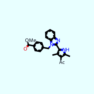 COC(=O)c1ccc(Cn2c(-c3[nH]c(C)c(C(C)=O)c3C)nc3ccccc32)cc1